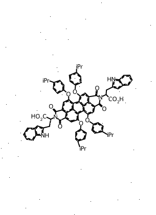 CC(C)c1ccc(Oc2cc3c4c(cc(Oc5ccc(C(C)C)cc5)c5c6c(Oc7ccc(C(C)C)cc7)cc7c8c(cc(Oc9ccc(C(C)C)cc9)c(c2c45)c86)C(=O)N(C(Cc2cc4ccccc4[nH]2)C(=O)O)C7=O)C(=O)N(C(Cc2cc4ccccc4[nH]2)C(=O)O)C3=O)cc1